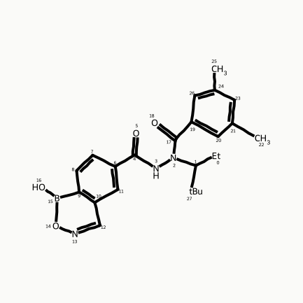 CCC(N(NC(=O)c1ccc2c(c1)C=NOB2O)C(=O)c1cc(C)cc(C)c1)C(C)(C)C